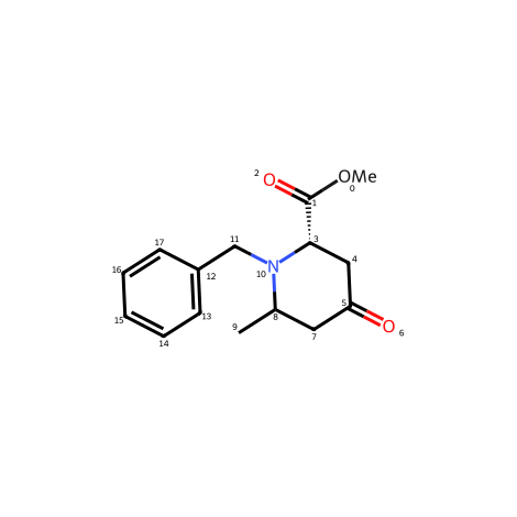 COC(=O)[C@@H]1CC(=O)CC(C)N1Cc1ccccc1